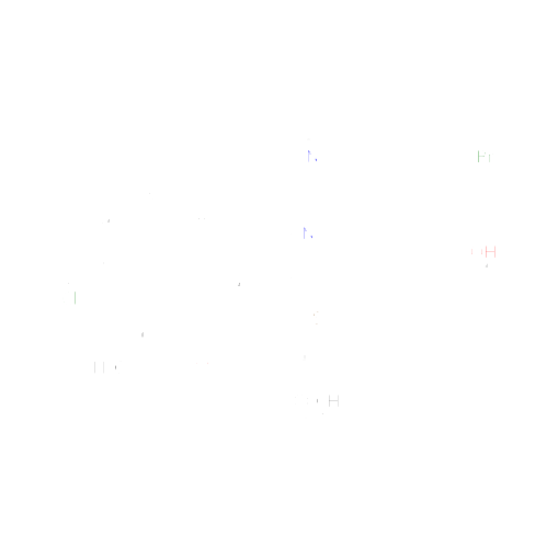 C[C@@H](Oc1cc(-n2cnc3cc(Br)c(O)cc32)sc1C(=O)O)c1ccccc1Cl